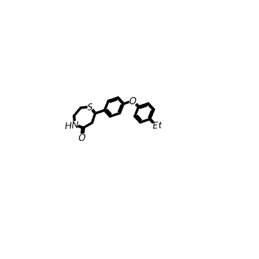 CCc1ccc(Oc2ccc(C3CC(=O)NCCS3)cc2)cc1